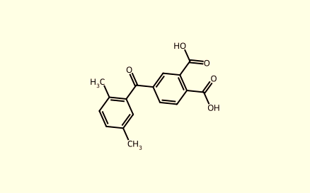 Cc1ccc(C)c(C(=O)c2ccc(C(=O)O)c(C(=O)O)c2)c1